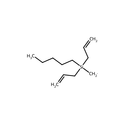 [CH2][Si](CC=C)(CC=C)CCCCC